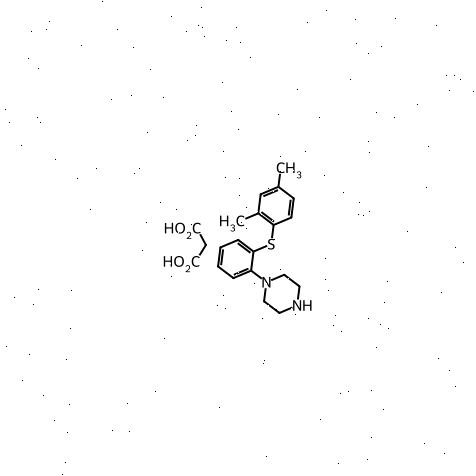 Cc1ccc(Sc2ccccc2N2CCNCC2)c(C)c1.O=C(O)CC(=O)O